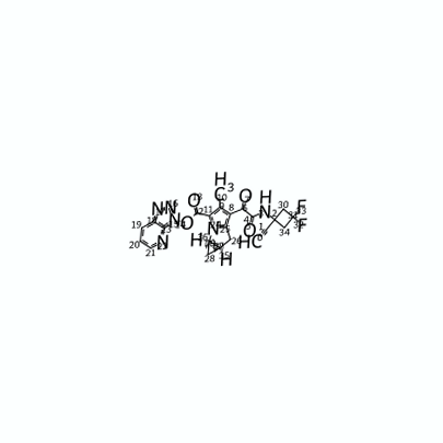 C#CC1(NC(=O)C(=O)c2c(C)c(C(=O)On3nnc4cccnc43)n3c2C[C@H]2C[C@H]23)CC(F)(F)C1